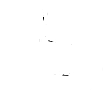 CC[C@H]1CC2C3CCC([C@H](C)CCC(=O)O)[C@@]3(C)CCC2[C@@]2(C)CCCCC12